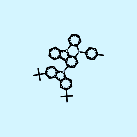 Cc1ccc(B2c3ccccc3-n3c4ccccc4c4c(-n5c6ccc(C(C)(C)C)cc6c6cc(C(C)(C)C)ccc65)ccc2c43)cc1